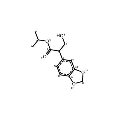 CC(C)OC(=O)C(CO)c1ccc2c(c1)OCO2